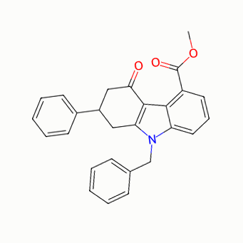 COC(=O)c1cccc2c1c1c(n2Cc2ccccc2)CC(c2ccccc2)CC1=O